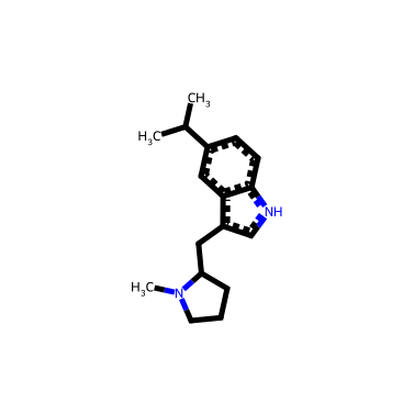 CC(C)c1ccc2[nH]cc(CC3CCCN3C)c2c1